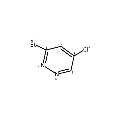 C[CH]c1cc(Cl)cnn1